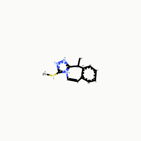 CC(C)Sc1nnc2n1C=Cc1ccccc1C2C